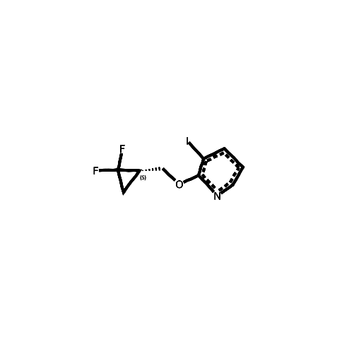 FC1(F)C[C@H]1COc1ncccc1I